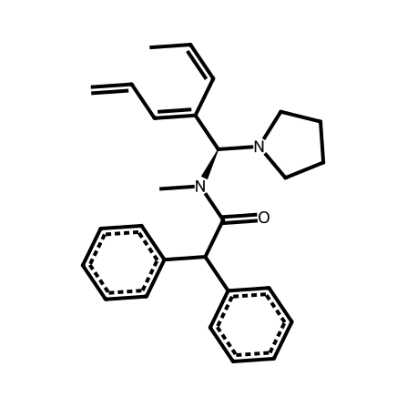 C=C/C=C(\C=C/C)[C@@H](N1CCCC1)N(C)C(=O)C(c1ccccc1)c1ccccc1